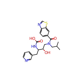 CC(C)CN(C[C@@H](O)C(Cc1cccnc1)NC(=O)O)C(=O)c1ccc2ncsc2c1